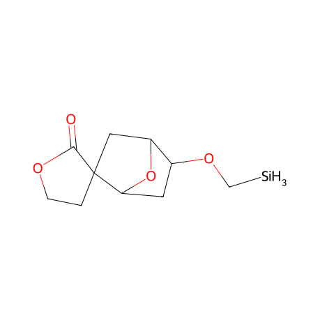 O=C1OCCC12CC1OC2CC1OC[SiH3]